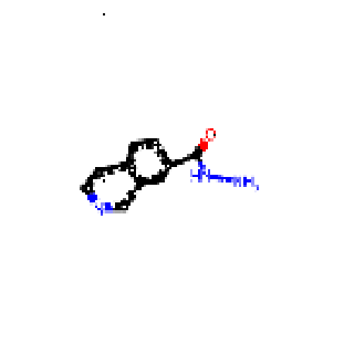 NNC(=O)c1ccc2ccncc2c1